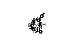 Cc1nn(-c2ncccn2)c(F)c1C(=O)N1C[C@@H]2C(Oc3cc(C(C)(C)NC(=O)OCc4ccccc4)cc(-c4ccc(F)cc4)n3)[C@@H]2C1